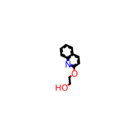 OCCOc1ccc2ccccc2n1